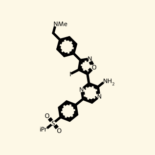 CNCc1ccc(-c2noc(-c3nc(-c4ccc(S(=O)(=O)C(C)C)cc4)cnc3N)c2I)cc1